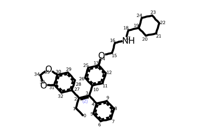 CC/C(=C(\c1ccccc1)c1ccc(OCCNCC2CCCCC2)cc1)c1ccc2c(c1)OCO2